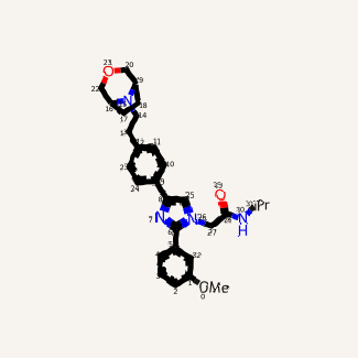 COc1cccc(-c2nc(-c3ccc(CCN4C5CCC4COC5)cc3)cn2CC(=O)NC(C)C)c1